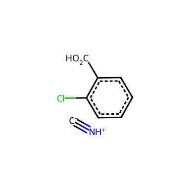 O=C(O)c1ccccc1Cl.[C-]#[NH+]